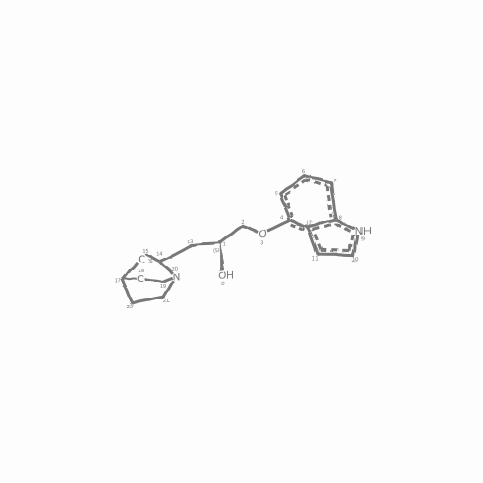 O[C@H](COc1cccc2[nH]ccc12)CC1CCC2CCN1CC2